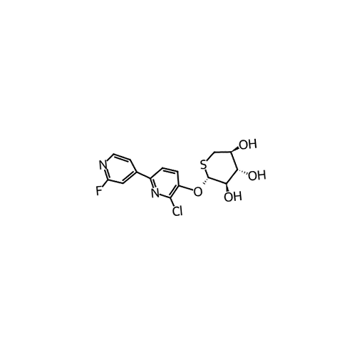 O[C@@H]1[C@@H](O)[C@H](Oc2ccc(-c3ccnc(F)c3)nc2Cl)SC[C@H]1O